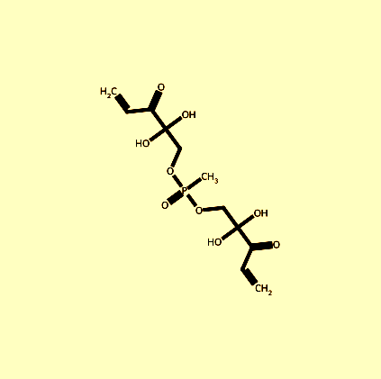 C=CC(=O)C(O)(O)COP(C)(=O)OCC(O)(O)C(=O)C=C